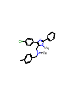 CCCCN(Cc1ccc(C)cc1)Cc1c(-c2ccc(Cl)cc2)nc(-c2ccccc2)n1CCCC